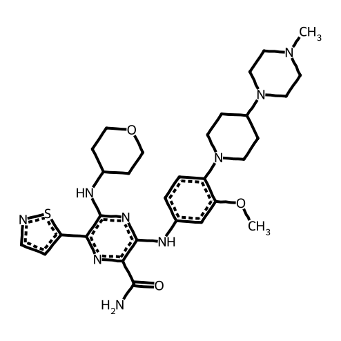 COc1cc(Nc2nc(NC3CCOCC3)c(-c3ccns3)nc2C(N)=O)ccc1N1CCC(N2CCN(C)CC2)CC1